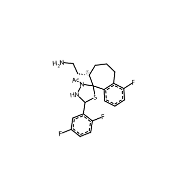 CC(=O)N1NC(c2cc(F)ccc2F)SC12c1cccc(F)c1CCC[C@H]2CCN